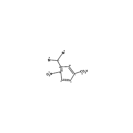 O=C(O)c1ccc([N+](=O)[O-])c(C(Br)Br)c1